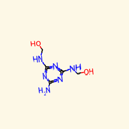 Nc1nc(NCO)nc(NCO)n1